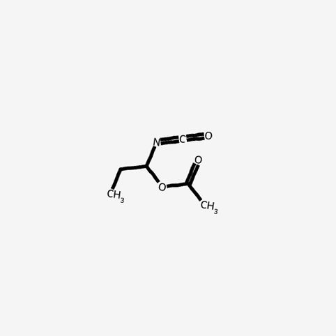 CCC(N=C=O)OC(C)=O